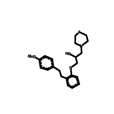 COc1ccc(CCc2ccccc2OCC(O)CN2CCSCC2)cc1